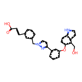 O=C(O)/C=C/c1cccc(Cn2ccc(-c3cccc(Oc4ccc5[nH]ccc5c4CO)c3)n2)c1